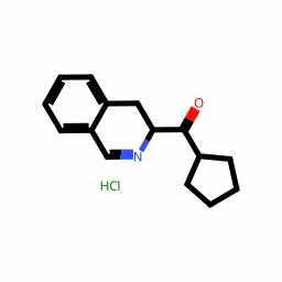 Cl.O=C(C1CCCC1)C1Cc2ccccc2C=N1